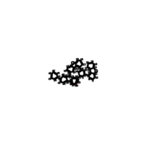 c1ccc(-c2cc(-c3cccc4oc5ccccc5c34)cc(-c3cccc4oc5ccc(-n6c7ccccc7c7ccc(-c8ccccc8)cc76)cc5c34)c2)cc1